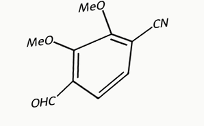 COc1c(C#N)ccc(C=O)c1OC